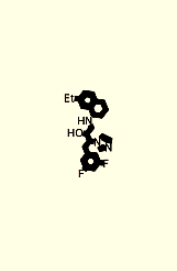 CCc1ccc2c(c1)C(NCC(O)C(Cc1cc(F)cc(F)c1)n1ccnc1)CCC2